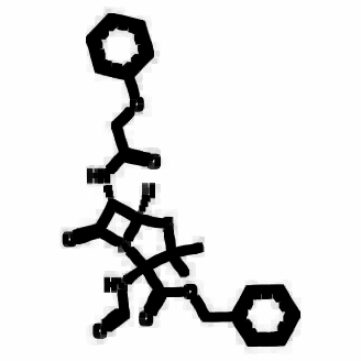 CC1(C)S[C@@H]2[C@@H](NC(=O)COc3ccccc3)C(=O)N2[C@@]1(NC=O)C(=O)OCc1ccccc1